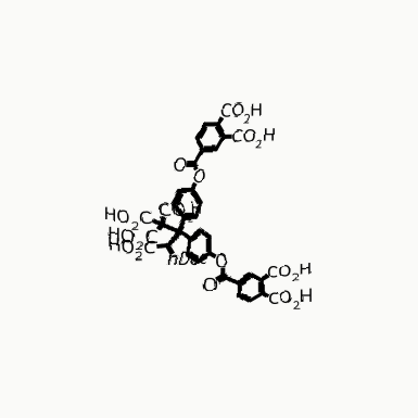 CCCCCCCCCCC(C(=O)O)C(c1ccc(OC(=O)c2ccc(C(=O)O)c(C(=O)O)c2)cc1)(c1ccc(OC(=O)c2ccc(C(=O)O)c(C(=O)O)c2)cc1)C(C(=O)O)(C(=O)O)C(=O)O